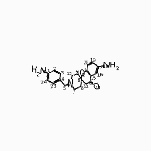 Nc1ccc(CN2CCC3(CC2)CC(=O)c2cc(N)ccc2O3)cc1